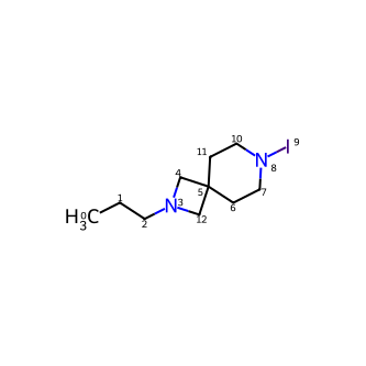 CCCN1CC2(CCN(I)CC2)C1